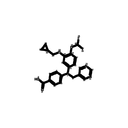 O=C(O)c1ccc(N(Cc2cncnc2)c2ccc(OC(F)F)c(OCC3CC3)c2)cc1